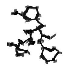 CC(C)(C)OC(=O)NC(Cc1cccc(O)c1)C(=O)Nc1ccncc1